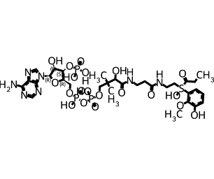 CCC(=O)S(O)(CCNC(=O)CCNC(=O)C(O)C(C)(C)COP(=O)(O)OP(=O)(O)OC[C@H]1O[C@@H](n2cnc3c(N)ncnc32)[C@H](O)[C@@H]1OP(=O)(O)O)c1cccc(O)c1OC